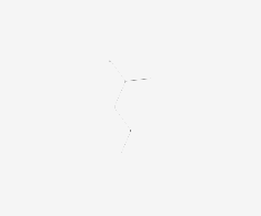 ClC[CH]C(Cl)Cl